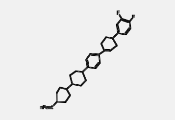 CCCCCC1CCC(C2CCC(c3ccc(C4=CCC(c5ccc(F)c(F)c5)CC4)cc3)CC2)CC1